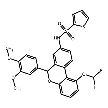 COc1ccc(C2Oc3cccc(OC(F)F)c3-c3ccc(NS(=O)(=O)c4cccs4)cc32)cc1OC